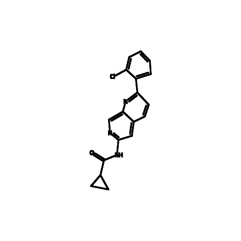 O=C(Nc1cc2ccc(-c3ccccc3Cl)nc2cn1)C1CC1